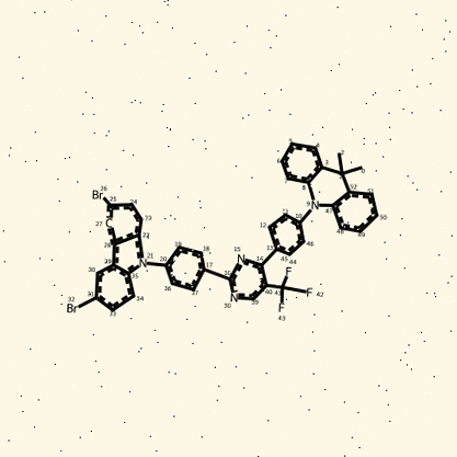 CC1(C)c2ccccc2N(c2ccc(-c3nc(-c4ccc(-n5c6ccc(Br)cc6c6cc(Br)ccc65)cc4)ncc3C(F)(F)F)cc2)c2ccccc21